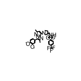 COc1ccc(-c2c(C)nc3c(N4CC[C@@H](NS(=O)(=O)c5ccc(C(F)(F)F)cc5)C4)cc(C)nn23)cc1OC